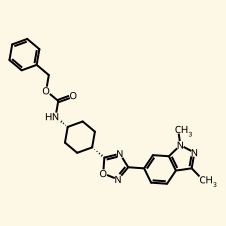 Cc1nn(C)c2cc(-c3noc([C@H]4CC[C@@H](NC(=O)OCc5ccccc5)CC4)n3)ccc12